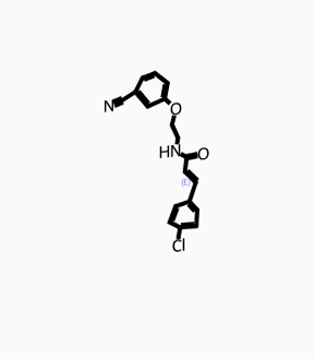 N#Cc1cccc(OCCNC(=O)/C=C/c2ccc(Cl)cc2)c1